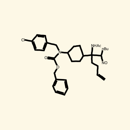 C=CCCC(NC(C)=O)(C1CCC(N(Cc2ccc(Cl)cc2)C(=O)OCc2ccccc2)CC1)C(CCCC)N=O